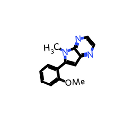 COc1ccccc1-c1cc2nccnc2n1C